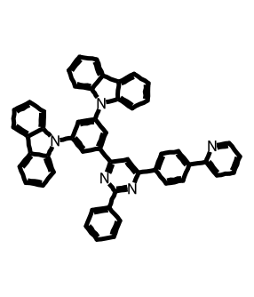 c1ccc(-c2nc(-c3ccc(-c4ccccn4)cc3)cc(-c3cc(-n4c5ccccc5c5ccccc54)cc(-n4c5ccccc5c5ccccc54)c3)n2)cc1